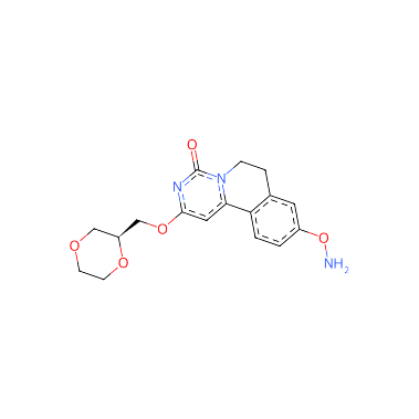 NOc1ccc2c(c1)CCn1c-2cc(OC[C@@H]2COCCO2)nc1=O